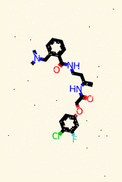 C=C(CCNC(=O)c1ccccc1CN(C)C)NC(=O)COc1ccc(Cl)c(F)c1